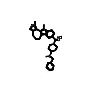 CN(Cc1ccccc1)C1CCN(C(=O)c2ccc3[nH]c4c(c3c2)CCCc2cn[nH]c2-4)CC1.Cl